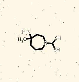 CC1(N)CCCN(C(S)S)CC1